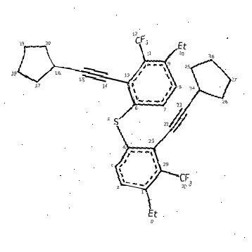 CCc1ccc(Sc2ccc(CC)c(C(F)(F)F)c2C#CC2CCCC2)c(C#CC2CCCC2)c1C(F)(F)F